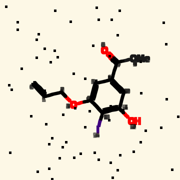 C=CCOc1cc(C(=O)OC)cc(O)c1I